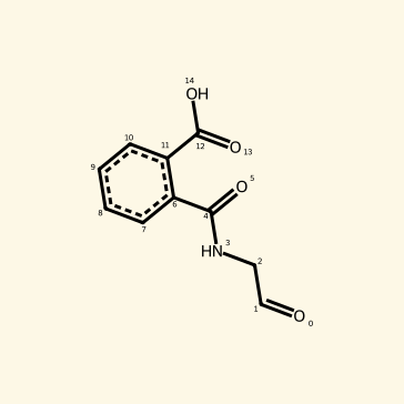 O=CCNC(=O)c1ccccc1C(=O)O